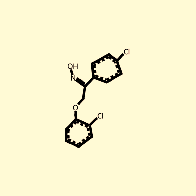 ON=C(COc1ccccc1Cl)c1ccc(Cl)cc1